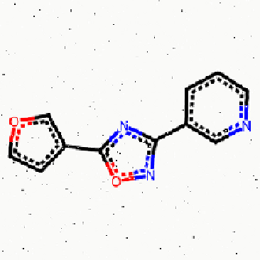 c1cncc(-c2noc(-c3ccoc3)n2)c1